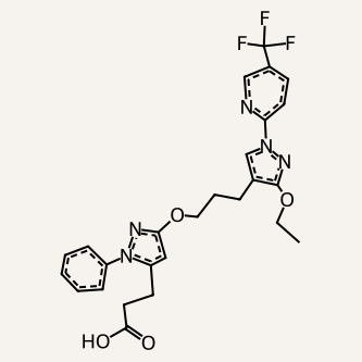 CCOc1nn(-c2ccc(C(F)(F)F)cn2)cc1CCCOc1cc(CCC(=O)O)n(-c2ccccc2)n1